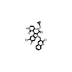 CCc1cc2c(-c3ccc[nH]c3=O)c(C(=O)NSC3CC3)n(Cc3cc4ccccc4nc3Cl)c2cc1F